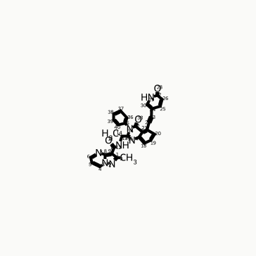 Cc1nn2cccnc2c1C(=O)N[C@H](C)c1nc2cccc(C#Cc3ccc(=O)[nH]c3)c2c(=O)n1-c1ccccc1